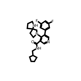 O=C(NCC1CCCC1)c1cncc(-c2cc(F)cc(F)c2)c1N1CCC2(CCCN2)C1